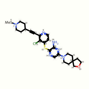 CSN1CCC(C#Cc2nccc(Sc3ncc(N4CCC5(CCOC5)CC4)nc3N)c2Cl)CC1